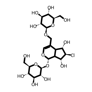 OC[C@H]1O[C@@H](OCC2=CO[C@@H](O[C@@H]3O[C@H](CO)[C@@H](O)[C@H](O)[C@H]3O)C3C2[C@H](O)[C@@H](Cl)[C@@H]3O)[C@H](O)[C@@H](O)[C@@H]1O